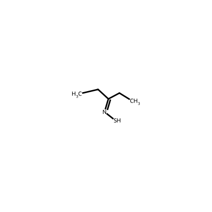 CCC(CC)=NS